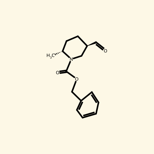 C[C@@H]1CC[C@@H](C=O)CN1C(=O)OCc1ccccc1